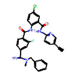 C#Cc1ccc(NC(=O)c2cc(Cl)ccc2NC(=O)c2ccc(C(=N)N(C)Cc3ccccc3)cc2F)nc1